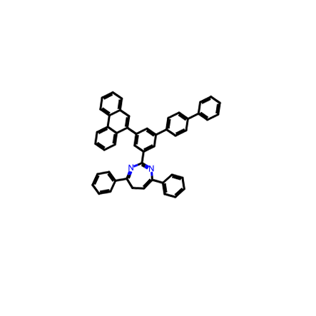 C1=C(c2ccccc2)N=C(c2cc(-c3ccc(-c4ccccc4)cc3)cc(-c3cc4ccccc4c4ccccc34)c2)N=C(c2ccccc2)C1